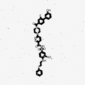 O=C(NS(=O)(=O)c1ccc(NCCSc2ccccc2)c([N+](=O)[O-])c1)c1ccc(N2CCN(C(=O)c3ccc(-c4cccc(O)c4)c(F)c3)CC2)nn1